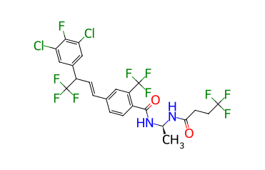 C[C@H](NC(=O)CCC(F)(F)F)NC(=O)c1ccc(C=CC(c2cc(Cl)c(F)c(Cl)c2)C(F)(F)F)cc1C(F)(F)F